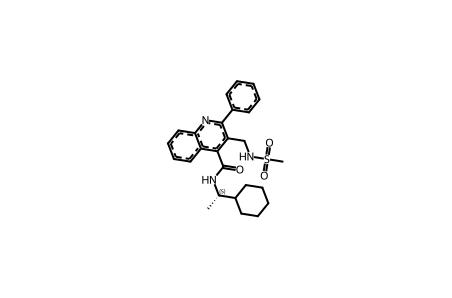 C[C@H](NC(=O)c1c(CNS(C)(=O)=O)c(-c2ccccc2)nc2ccccc12)C1CCCCC1